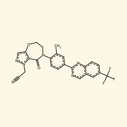 Cc1cc(-c2ncc3cc(C(F)(F)F)ccc3n2)ccc1N1CCOc2cnn(CC#N)c2C1=O